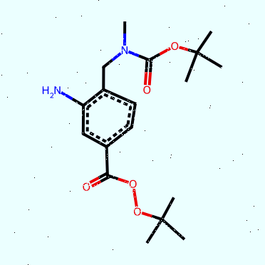 CN(Cc1ccc(C(=O)OOC(C)(C)C)cc1N)C(=O)OC(C)(C)C